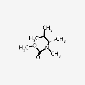 COC(=O)N(C)[C@@H](C)C(C)C